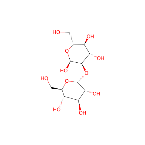 OC[C@H]1O[C@H](O[C@@H]2[C@@H](O)[C@H](O)[C@@H](CO)O[C@@H]2O)[C@H](O)[C@@H](O)[C@@H]1O